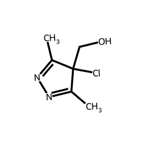 CC1=NN=C(C)C1(Cl)CO